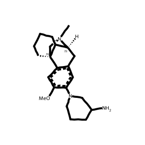 COc1cc2c(cc1N1CCCC(N)C1)C[C@H]1C3CCCC[C@@]23CCN1C